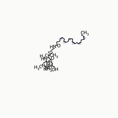 CC/C=C\C/C=C\C/C=C\C/C=C\C/C=C\C/C=C\CCC(=O)NCCSSC(C)(C)C(NC(=O)CN(C)C(=N)N)C(=O)NCC(O)CO